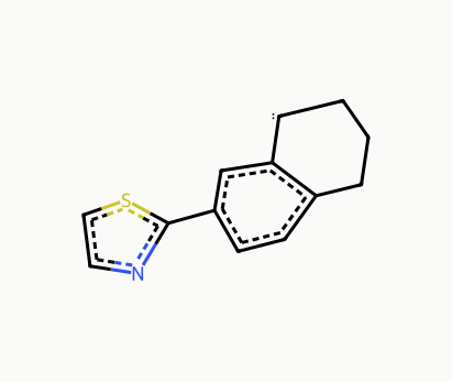 [C]1CCCc2ccc(-c3nccs3)cc21